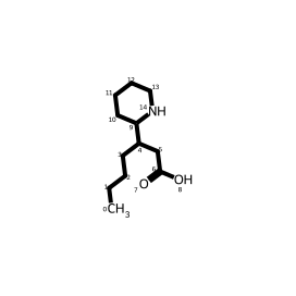 CCCCC(CC(=O)O)C1CCCCN1